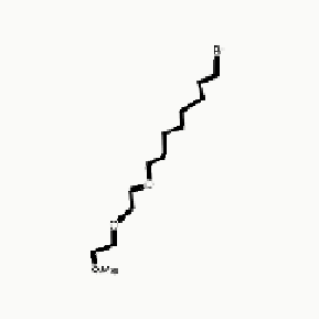 COCCOCCOCCCCCCCCBr